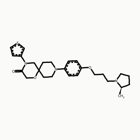 C[C@@H]1CCCN1CCCOc1ccc(N2CCC3(CC2)CN(c2ccsc2)C(=O)CO3)cc1